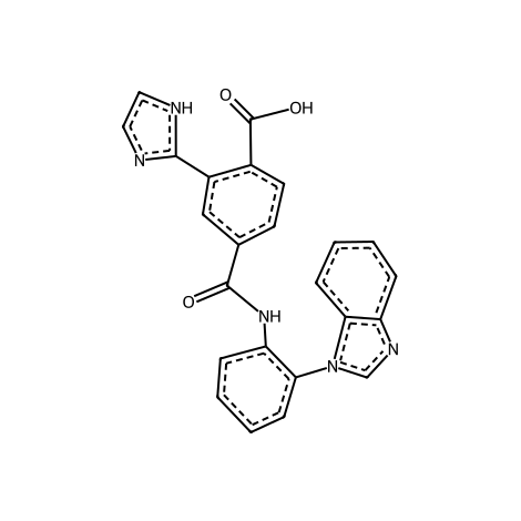 O=C(Nc1ccccc1-n1cnc2ccccc21)c1ccc(C(=O)O)c(-c2ncc[nH]2)c1